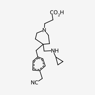 N#CCc1ccc(CC2(CNC3CC3)CCN(CCC(=O)O)CC2)cc1